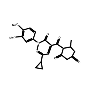 COc1ccc(-n2nc(C3CC3)cc(C(=O)C3C(=O)CC(=O)CC3C)c2=O)cc1OC